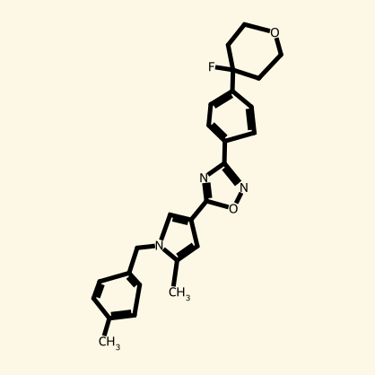 Cc1ccc(Cn2cc(-c3nc(-c4ccc(C5(F)CCOCC5)cc4)no3)cc2C)cc1